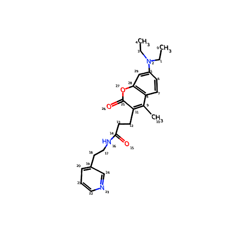 CCN(CC)c1ccc2c(C)c(CCC(=O)NCCc3cccnc3)c(=O)oc2c1